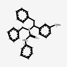 COc1cccc(C(Cc2ccccc2)N(Cc2ccccc2)C(=O)Nc2ccccc2)c1